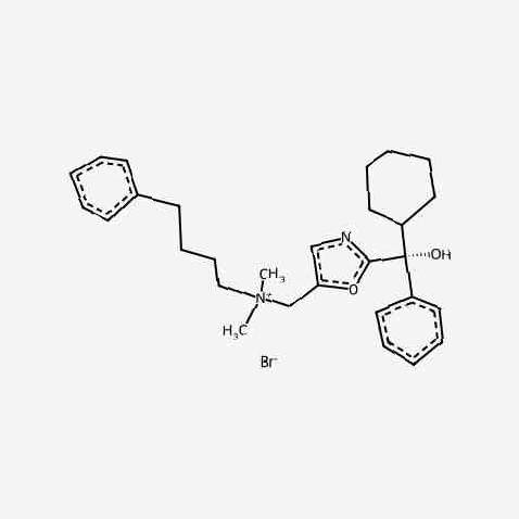 C[N+](C)(CCCCc1ccccc1)Cc1cnc([C@](O)(c2ccccc2)C2CCCCC2)o1.[Br-]